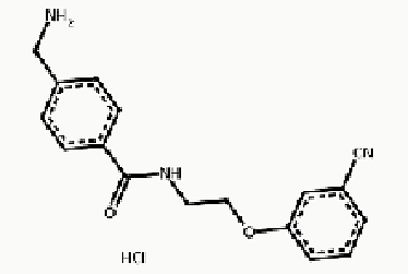 Cl.N#Cc1cccc(OCCNC(=O)c2ccc(CN)cc2)c1